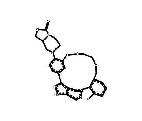 O=C1OCC2CN(c3ccc4cc3OCCCOCc3cccc(F)c3-c3cc5c-4n[nH]c5cn3)CCN12